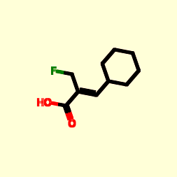 O=C(O)C(=CC1CCCCC1)CF